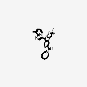 Cc1cccn2c(-c3nn(CC(F)(F)F)c4cc(C(=O)N5CCCCCC5)ncc34)cnc12